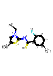 CC(C)Cn1cc(C(C)(C)C)sc1=NC(=S)c1cc(C(F)(F)F)ccc1F